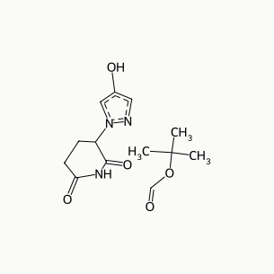 CC(C)(C)OC=O.O=C1CCC(n2cc(O)cn2)C(=O)N1